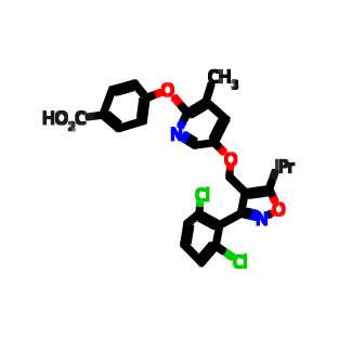 Cc1cc(OCc2c(-c3c(Cl)cccc3Cl)noc2C(C)C)cnc1Oc1ccc(C(=O)O)cc1